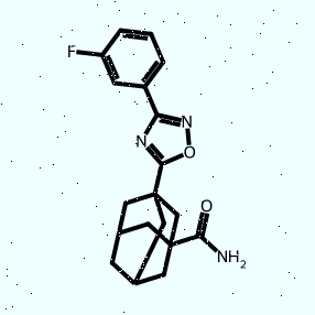 NC(=O)C12CC3CC(C1)CC(c1nc(-c4cccc(F)c4)no1)(C3)C2